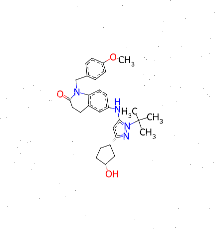 COc1ccc(CN2C(=O)CCc3cc(Nc4cc([C@H]5CC[C@@H](O)C5)nn4C(C)(C)C)ccc32)cc1